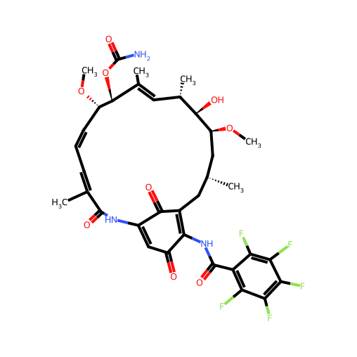 CO[C@H]1/C=C\C=C(/C)C(=O)NC2=CC(=O)C(NC(=O)c3c(F)c(F)c(F)c(F)c3F)=C(C[C@@H](C)C[C@H](OC)[C@H](O)[C@@H](C)/C=C(\C)[C@@H]1OC(N)=O)C2=O